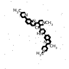 Cc1cc2ccc([C@H]3CC[C@H](CC4CN(C)CCC4c4nc5cc(C6=NC[C@@H](C)CC6)ccc5cc4C)CN3)cc2nc1C1CCN(C)CC1